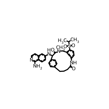 CC(C)S(=O)(=O)c1ccc2cc1CN(C)C(=O)C(Nc1ccc3c(N)nccc3c1)c1ccc(cc1)CCCC(=O)N2